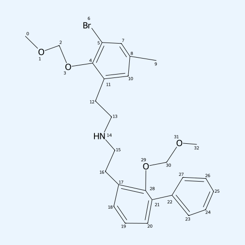 COCOc1c(Br)cc(C)cc1CCNCCc1cccc(-c2ccccc2)c1OCOC